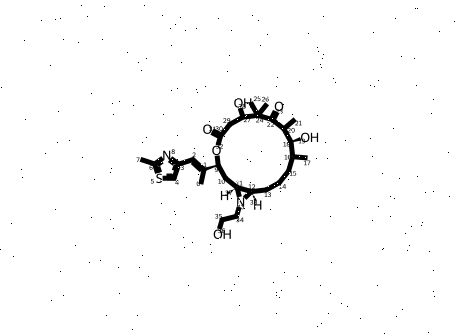 C/C(=C\c1csc(C)n1)[C@@H]1C[C@H]2[C@@H](CCCC(C)[C@H](O)C(C)C(=O)C(C)(C)C(O)CC(=O)O1)N2CCO